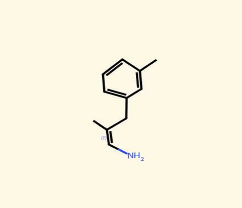 C/C(=C/N)Cc1cccc(C)c1